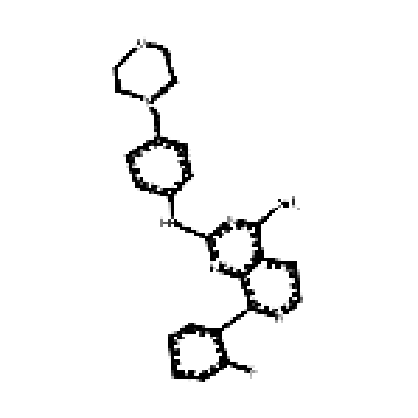 Nc1nc(Nc2ccc(N3CCOCC3)cc2)nc2c(-c3ccccc3F)nccc12